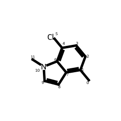 Cc1ccc(Cl)c2c1ccn2C